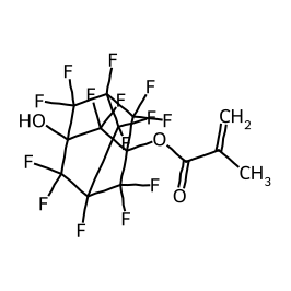 C=C(C)C(=O)OC12C(F)(F)C3(O)C(F)(F)C(F)(C(F)(F)C(F)(C3(F)F)C1(F)F)C2(F)F